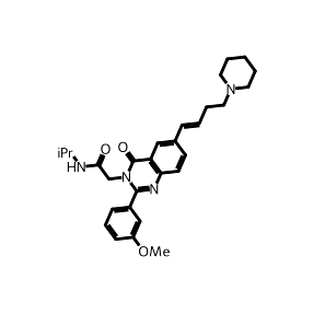 COc1cccc(-c2nc3ccc(C=CCCN4CCCCC4)cc3c(=O)n2CC(=O)NC(C)C)c1